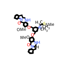 COc1cc2c(cc1OCc1cc(COc3cc4c(cc3OC)C(=O)N3c5ccccc5C[C@H]3CN4)cc(N(C)CC(C)(C)SSC)c1)NCC1Cc3ccccc3N1C2=O